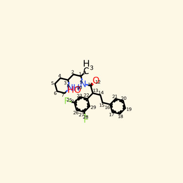 CC(CC1CCCCN1)N(O)C(=O)C(CCc1ccccc1)c1cc(F)cc(F)c1